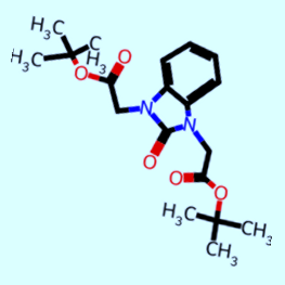 CC(C)(C)OC(=O)Cn1c(=O)n(CC(=O)OC(C)(C)C)c2ccccc21